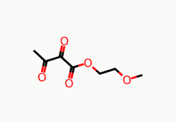 COCCOC(=O)C(=O)C(C)=O